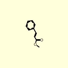 COC(=O)C=Cc1c[c]ccc1